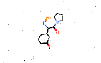 O=C1CCCC(C(N=P)C(=O)N2CCCC2)C1